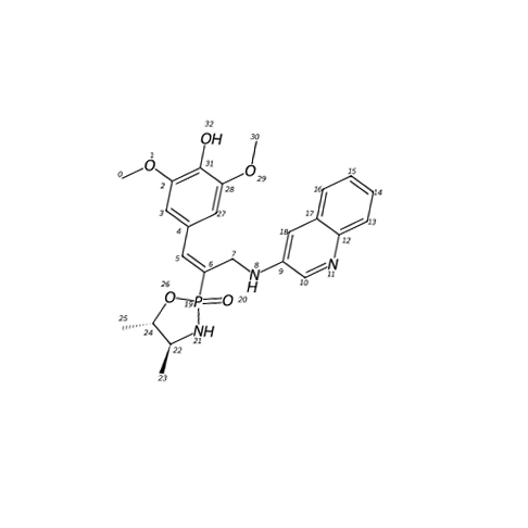 COc1cc(C=C(CNc2cnc3ccccc3c2)P2(=O)N[C@@H](C)[C@H](C)O2)cc(OC)c1O